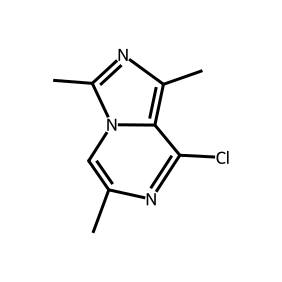 Cc1cn2c(C)nc(C)c2c(Cl)n1